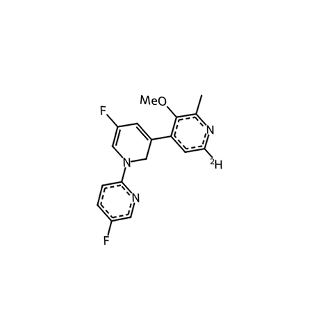 [2H]c1cc(C2=CC(F)=CN(c3ccc(F)cn3)C2)c(OC)c(C)n1